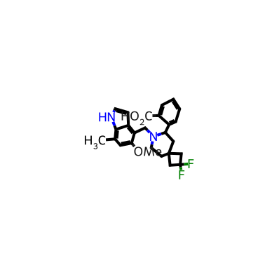 COc1cc(C)c2[nH]ccc2c1CN1CCC2(CC1c1ccccc1C(=O)O)CC(F)(F)C2